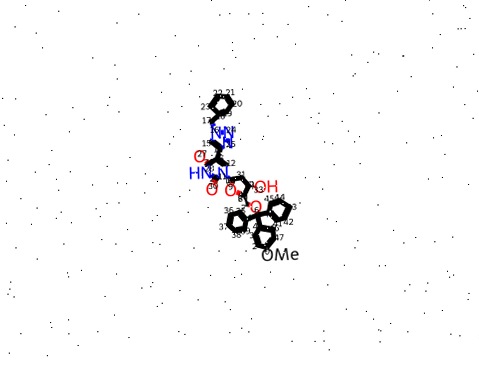 COc1ccc(C(OC[C@H]2O[C@@H](n3cc(-c4cn(Cc5ccccc5)nn4)c(=O)[nH]c3=O)C[C@@H]2O)(c2ccccc2)c2ccccc2)cc1